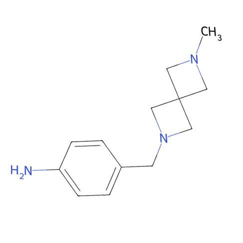 CN1CC2(C1)CN(Cc1ccc(N)cc1)C2